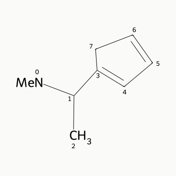 CNC(C)C1=CC=CC1